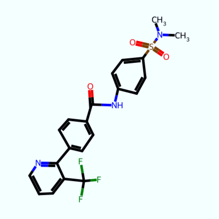 CN(C)S(=O)(=O)c1ccc(NC(=O)c2ccc(-c3ncccc3C(F)(F)F)cc2)cc1